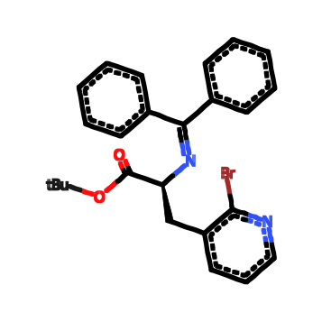 CC(C)(C)OC(=O)[C@H](Cc1cccnc1Br)N=C(c1ccccc1)c1ccccc1